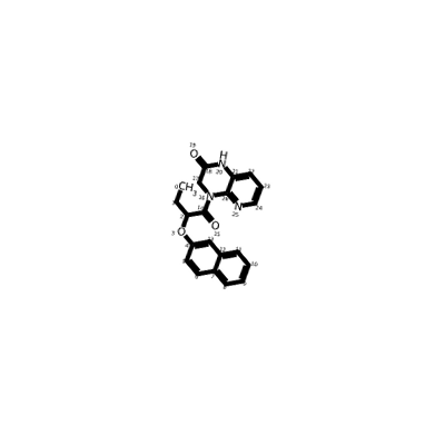 CCC(Oc1ccc2ccccc2c1)C(=O)N1CC(=O)Nc2cccnc21